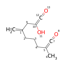 C=C(CCCC(C)=C=O)CC(O)=C=O